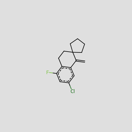 C=C1c2cc(Cl)cc(F)c2CCC12CCCC2